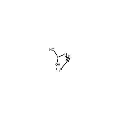 BC#N.OP(O)O